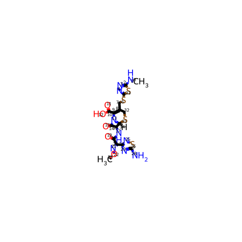 CNc1nnc(SCC2=C(C(=O)O)N3C(=O)C(NC(=O)/C(=N/OC)c4nsc(N)n4)[C@H]3SC2)s1